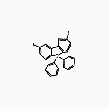 Ic1ccc2c(c1)-c1cc(I)ccc1[Si]2(c1ccccc1)c1ccccc1